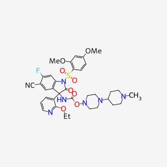 CCOc1ncccc1C1(NC(=O)ON2CCN(C3CCN(C)CC3)CC2)C(=O)N(S(=O)(=O)c2ccc(OC)cc2OC)c2cc(F)c(C#N)cc21